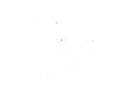 Br.NCCCC[C@@H](C(=O)Nc1ccc([N+](=O)[O-])cc1)N(C(=O)COc1ccccc1)C(=O)[C@@H]1CCCN1